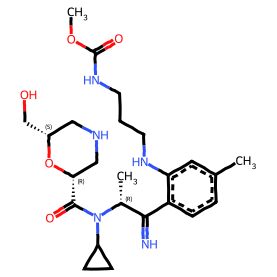 COC(=O)NCCCNc1cc(C)ccc1C(=N)[C@@H](C)N(C(=O)[C@H]1CNC[C@@H](CO)O1)C1CC1